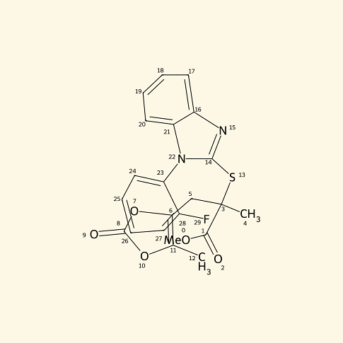 COC(=O)C(C)(Cc1oc(=O)oc1C)Sc1nc2ccccc2n1-c1ccccc1F